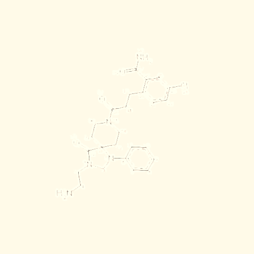 NCCN1CN(c2ccccc2)C2(CCN(C(=O)[CH]Cc3ccc(Cl)cc3C(N)=O)CC2)C1=O